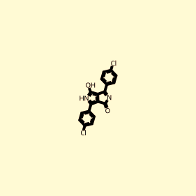 O=C1N=C(c2ccc(Cl)cc2)c2c(O)[nH]c(-c3ccc(Cl)cc3)c21